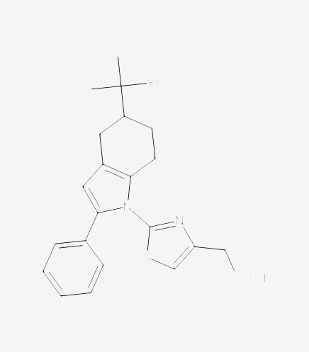 CCC(C)(C)C1CCc2c(cc(-c3ccccc3)n2-c2nc(CC(=O)O)cs2)C1